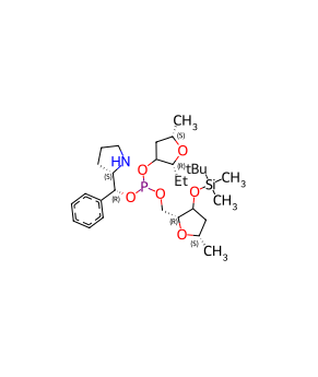 CC[C@H]1O[C@@H](C)CC1OP(OC[C@H]1O[C@@H](C)CC1O[Si](C)(C)C(C)(C)C)O[C@H](c1ccccc1)[C@@H]1CCCN1